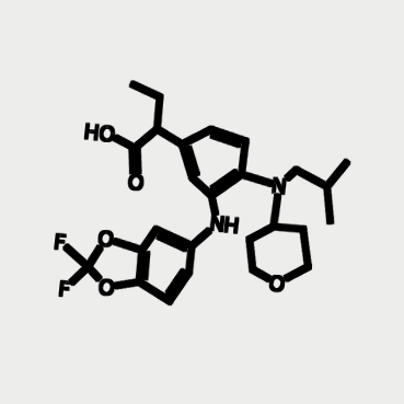 CCC(C(=O)O)c1ccc(N(CC(C)C)C2CCOCC2)c(Nc2ccc3c(c2)OC(F)(F)O3)c1